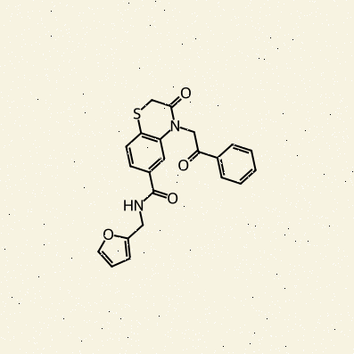 O=C(CN1C(=O)CSc2ccc(C(=O)NCc3ccco3)cc21)c1ccccc1